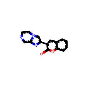 O=c1oc2ccccc2cc1-c1cn2ccncc2n1